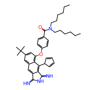 CCCCCCN(CCCCCC)C(=O)c1ccc(Oc2cc(C(C)(C)C)cc3cc4c(c(C5C=CC=C5)c23)C(=N)NC4=N)cc1